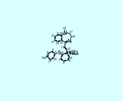 Cc1ccc(Sc2ccccc2/C=C/C2=NCCN(C)c3ccccc32)cc1.Cl.Cl